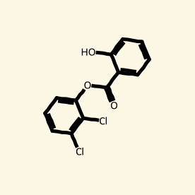 O=C(Oc1cccc(Cl)c1Cl)c1ccccc1O